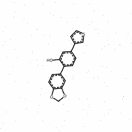 Oc1cc(-c2ccsc2)ccc1-c1ccc2c(c1)OCO2